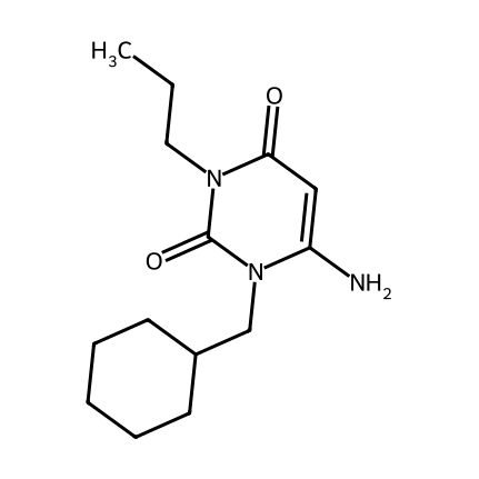 CCCn1c(=O)cc(N)n(CC2CCCCC2)c1=O